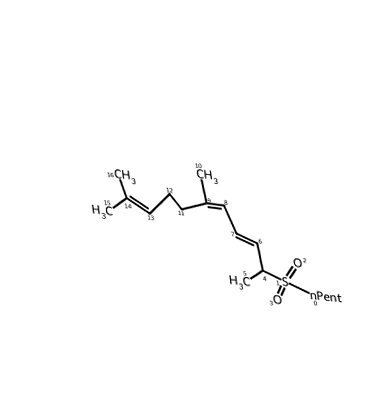 CCCCCS(=O)(=O)C(C)C=CC=C(C)CCC=C(C)C